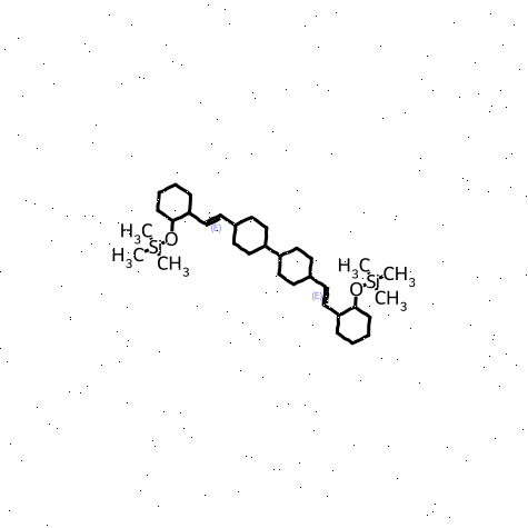 C[Si](C)(C)OC1CCCCC1/C=C/C1CCC(C2CCC(/C=C/C3CCCCC3O[Si](C)(C)C)CC2)CC1